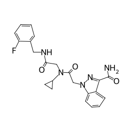 NC(=O)c1nn(CC(=O)N(CC(=O)NCc2ccccc2F)C2CC2)c2ccccc12